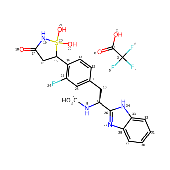 O=C(O)C(F)(F)F.O=C(O)N[C@@H](Cc1ccc(C2CC(=O)NS2(O)O)c(F)c1)c1nc2ccccc2[nH]1